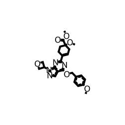 COC(=O)C1(OC)CC=C(c2nc(OCc3ccc(OC)cc3)c3cnn(C4COC4)c3n2)CC1